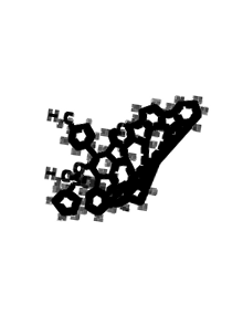 Cc1ccc(C2=C(O[Si](C)(C)c3ccccc3)C3c4ccc5c6ccc7c8ccc9c%10ccc%11c%12c%13c(c3c3c4c5c4c6c7c5c8c9c(c%10%12)c6c%13c3c4c56)C2%11)cc1